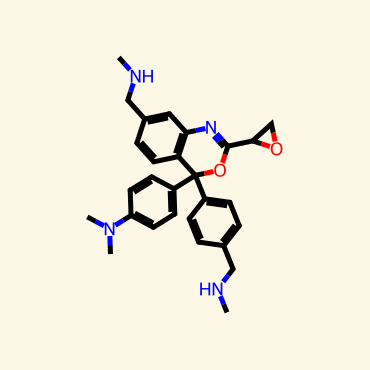 CNCc1ccc(C2(c3ccc(N(C)C)cc3)OC(C3CO3)=Nc3cc(CNC)ccc32)cc1